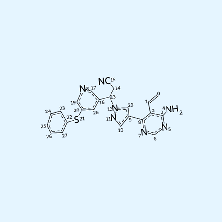 C=Cc1c(N)ncnc1-c1cnn(C(CC#N)c2cncc(Sc3ccccc3)c2)c1